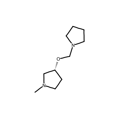 CN1CC[C@@H](OCN2CCCC2)C1